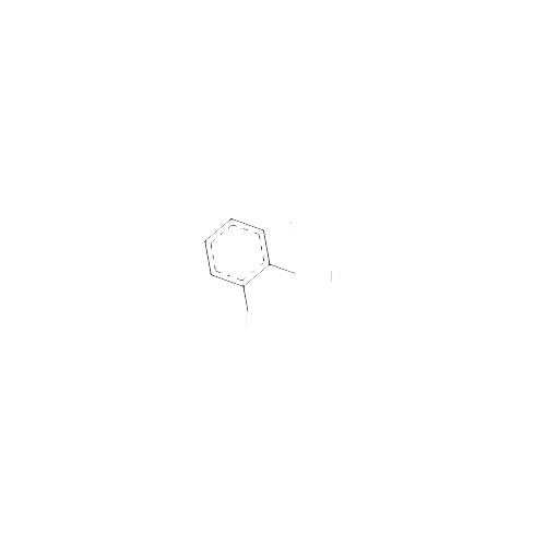 CCc1ccccc1C(=O)O.[AlH3]